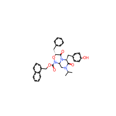 CC(C)N1CC2N(C(=O)OCc3cccc4ccccc34)O[C@H](Cc3ccccc3)C(=O)N2[C@@H](Cc2ccc(O)cc2)C1=O